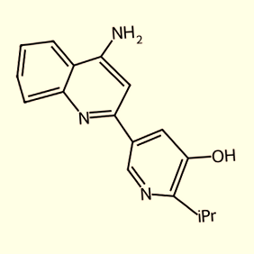 CC(C)c1ncc(-c2cc(N)c3ccccc3n2)cc1O